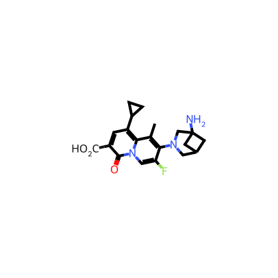 Cc1c(N2CC3CC(N)(C3)C2)c(F)cn2c(=O)c(C(=O)O)cc(C3CC3)c12